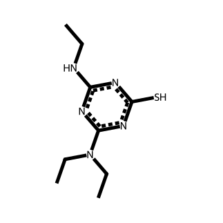 CCNc1nc(S)nc(N(CC)CC)n1